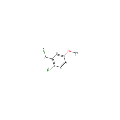 CC(C)Oc1ccc(Br)c(CCl)c1